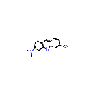 CN(C)c1ccc2cc3ccc(C#N)cc3nc2c1